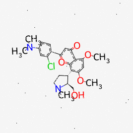 COc1cc(OC)c2c(=O)cc(-c3ccc(N(C)C)cc3Cl)oc2c1[C@H]1CCN(C)[C@@H]1CO